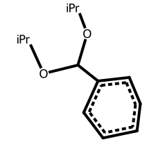 CC(C)OC(OC(C)C)c1ccccc1